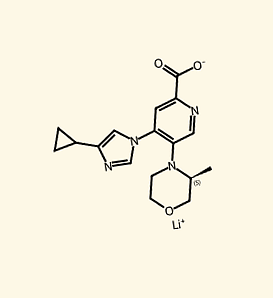 C[C@H]1COCCN1c1cnc(C(=O)[O-])cc1-n1cnc(C2CC2)c1.[Li+]